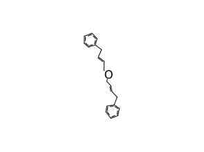 C(=CCc1ccccc1)COCC=CCc1ccccc1